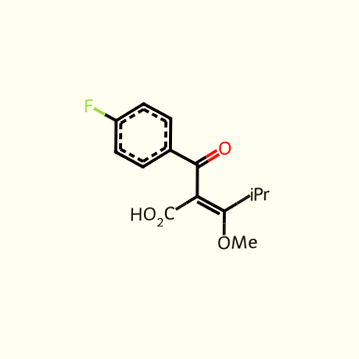 CO/C(=C(\C(=O)O)C(=O)c1ccc(F)cc1)C(C)C